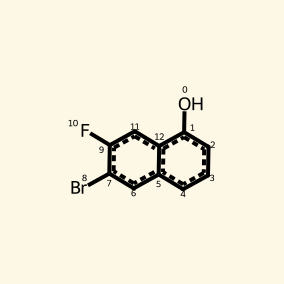 Oc1cccc2cc(Br)c(F)cc12